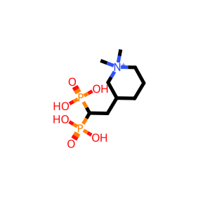 C[N+]1(C)CCCC(CC(P(=O)(O)O)P(=O)(O)O)C1